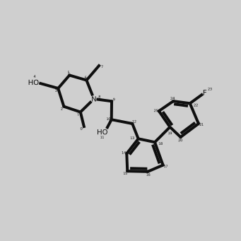 CC1CC(O)CC(C)N1CC(O)Cc1ccccc1-c1ccc(F)cc1